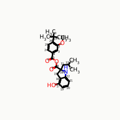 COc1cc(C(=O)OC(=O)C2(CC(C)C)Cc3c(O)cccc3N2)ccc1C(C)(C)C